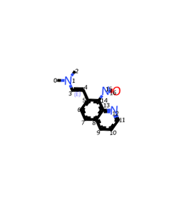 CN(C)/C=C/c1ccc2cccnc2c1N=O